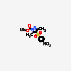 Cc1nn(C(=O)OC(C)(C)C)c(C)c1S(=O)(=O)c1ccc([N+](=O)[O-])cc1